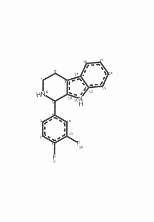 Fc1ccc(C2NCCc3c2[nH]c2ccccc32)cc1F